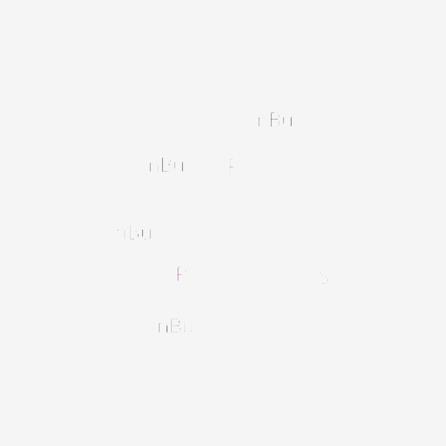 CCCCP(CCCC)c1cscc1P(CCCC)CCCC